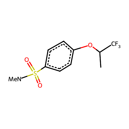 CNS(=O)(=O)c1ccc(OC(C)C(F)(F)F)cc1